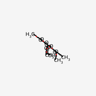 CCCCCCCCCCOC(=O)CCCCCC(=O)OCC(COC(=O)CCCCCCC(=O)OC(CCCCCCCC)CCCCCCCC)COC(=O)OCCCN(CC)CCCO